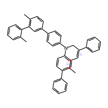 C/C=C\C=C(/CN(c1ccc(-c2ccccc2)cc1)c1ccc(-c2ccc(C)c(-c3ccccc3C)c2)cc1)c1ccccc1